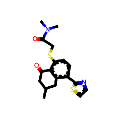 CC1CC(=O)c2c(SCC(=O)N(C)C)ccc(-c3nccs3)c2C1